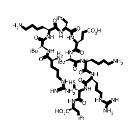 CC[C@H](C)[C@H](NC(=O)[C@H](CCC(=O)O)NC(=O)[C@H](CC(C)C)NC(=O)[C@H](CCCCN)NC(=O)[C@@H](NC(=O)[C@@H](N)CCCNC(=N)N)[C@@H](C)CC)C(=O)N[C@@H](CCCCN)C(=O)N[C@@H](CCCNC(=N)N)C(=O)N[C@@H](CS)C(=O)N[C@@H](CC(C)C)C(=O)O